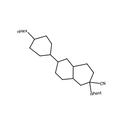 CCCCCCC1CCC(C2CCC3CC(C#N)(CCCCC)CCC3C2)CC1